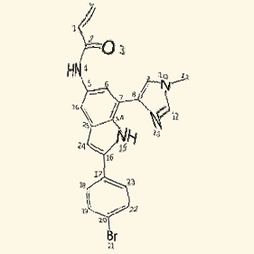 C=CC(=O)Nc1cc(-c2cn(C)cn2)c2[nH]c(-c3ccc(Br)cc3)cc2c1